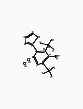 CC(C)(C)c1ccc(C2=CC=CC2)c(C(C)(C)C)[c]1[Ti+2].[Cl-].[Cl-]